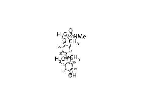 CNC(=O)C(C)(C)Oc1ccc(C(C)(C)c2ccc(O)cc2)cc1